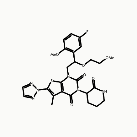 COCCOC(Cn1c(=O)n(C2CCCNC2=O)c(=O)c2c(C)c(-n3nccn3)sc21)c1cc(F)ccc1OC